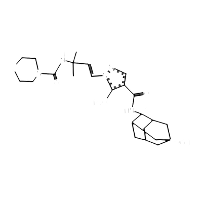 CC(C)COc1c(C(=O)N[C@H]2C3CC4CC2C[C@](O)(C4)C3)cnn1/C=C/C(C)(C)NC(=O)N1CCOCC1